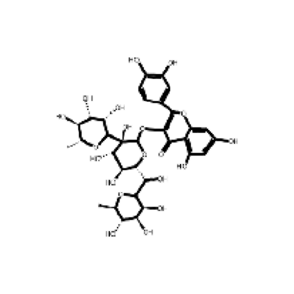 C[C@H]1OC(C(O)[C@H]2OC(Oc3c(-c4ccc(O)c(O)c4)oc4cc(O)cc(O)c4c3=O)[C@@](O)(C3O[C@H](C)[C@@H](O)[C@H](O)[C@@H]3O)[C@@H](O)[C@@H]2O)[C@@H](O)[C@@H](O)[C@@H]1O